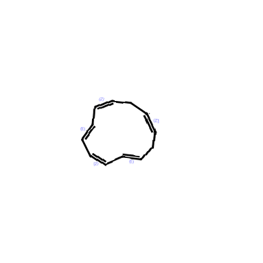 [C]1=C\C/C=C/C=C\C=C\C=C/C/1